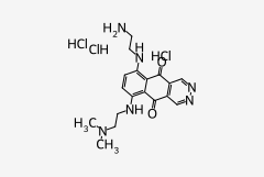 CN(C)CCNc1ccc(NCCN)c2c1C(=O)c1cnncc1C2=O.Cl.Cl.Cl